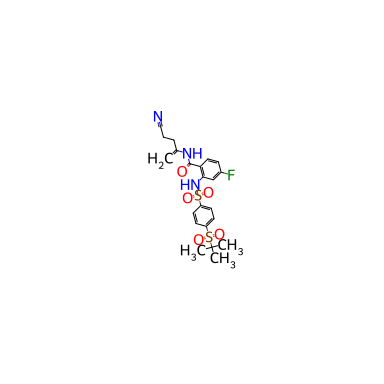 C=C(CCC#N)NC(=O)c1ccc(F)cc1NS(=O)(=O)c1ccc(S(=O)(=O)C(C)(C)C)cc1